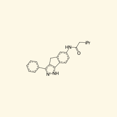 CC(C)CC(=O)Nc1ccc2c(c1)Cc1c(-c3ccccc3)n[nH]c1-2